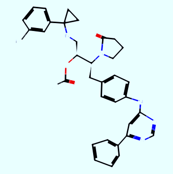 CC(C)c1cccc(C2(NC[C@H](OC(=O)C(F)(F)F)[C@H](Cc3ccc(Nc4cc(-c5ccccc5)ncn4)cc3)N3CCCC3=O)CC2)c1